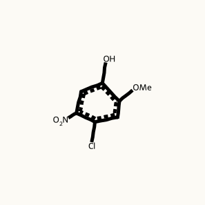 COc1cc(Cl)c([N+](=O)[O-])cc1O